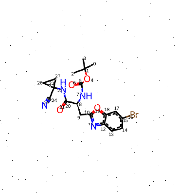 CC(C)(C)OC(=O)N[C@@H](Cc1nc2ccc(Br)cc2o1)C(=O)NC1(C#N)CC1